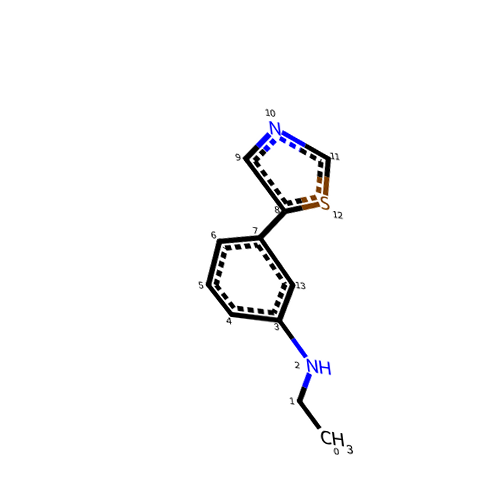 CCNc1cccc(-c2cncs2)c1